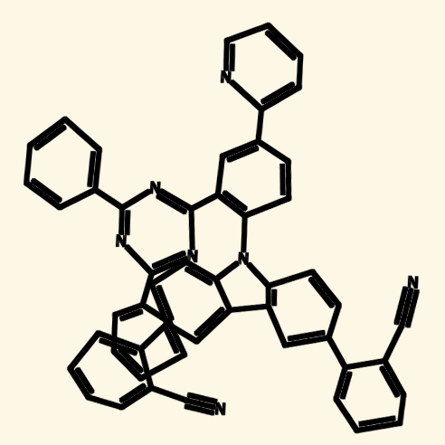 N#Cc1ccccc1-c1ccc2c(c1)c1cc(-c3ccccc3C#N)ccc1n2-c1ccc(-c2ccccn2)cc1-c1nc(-c2ccccc2)nc(-c2ccccc2)n1